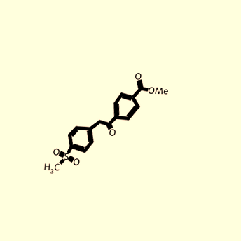 COC(=O)c1ccc(C(=O)Cc2ccc(S(C)(=O)=O)cc2)cc1